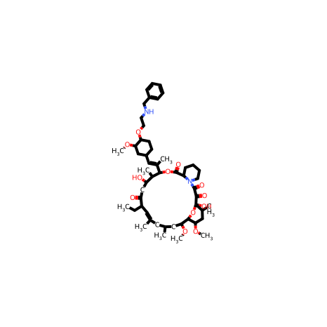 CCC1/C=C(\C)CC(C)CC(OC)C2OC(O)(C(=O)C(=O)N3CCCCC3C(=O)OC(C(C)=CC3CCC(OCCNCc4ccccc4)C(OC)C3)C(C)C(O)CC1=O)C(C)CC2OC